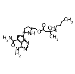 CCCCCC(C)(C)CC(=O)OC[C@@H]1CC[C@H](c2cc(C(N)=O)c3c(N)ncnn23)N1